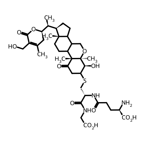 CC1=C(CO)C(=O)O[C@@H]([C@@H](C)[C@H]2CCC3C4CO[C@@]5(C)[C@@H](O)C(SC[C@H](NC(=O)CC[C@@H](N)C(=O)O)C(=O)NCC(=O)O)CC(=O)[C@]5(C)C4CC[C@@]32C)C1